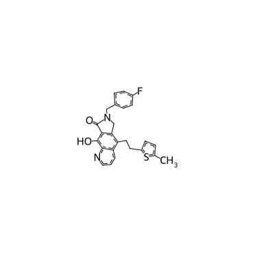 Cc1ccc(CCc2c3c(c(O)c4ncccc24)C(=O)N(Cc2ccc(F)cc2)C3)s1